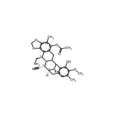 COc1c(C)cc2c(c1O)C1C3Cc4c(OC(C)=O)c(C)c5c(c4[C@H](CN)N3[C@@H](C#N)[C@H](C2)N1C)OCO5